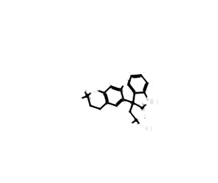 CC(C)(O)CC1(c2cc3c(cc2O)OC(C)(C)CC3)C(=O)Nc2ccccc21